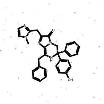 Cn1ccnc1CC1=NC2=C(Cc3ccccc3)NC(c3ccccc3)(c3ccc(O)cc3)CN2C1=O